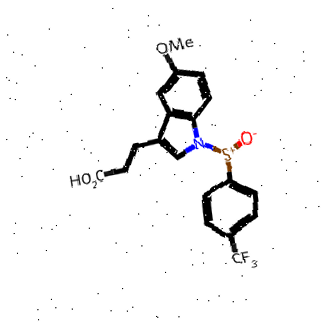 COc1ccc2c(c1)c(CCC(=O)O)cn2[S+]([O-])c1ccc(C(F)(F)F)cc1